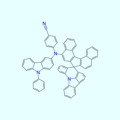 N#Cc1ccc(N(c2ccc3c(c2)c2ccccc2n3-c2ccccc2)c2cc3c(c4ccccc24)-c2c(ccc4ccccc24)C32c3ccccc3-n3c4ccccc4c4cccc2c43)cc1